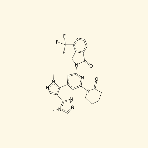 Cn1cnnc1-c1cnn(C)c1-c1cc(N2CCCCC2=O)nc(N2Cc3c(cccc3C(F)(F)F)C2=O)c1